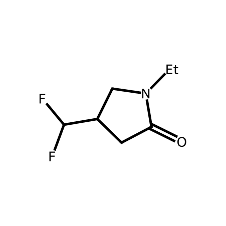 CCN1CC(C(F)F)CC1=O